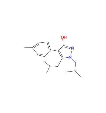 Cc1ccc(-c2c(O)nn(CC(C)C)c2CC(C)C)cc1